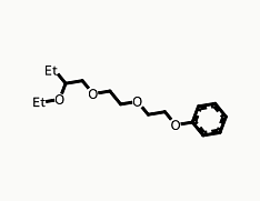 CCOC(CC)COCCOCCOc1ccccc1